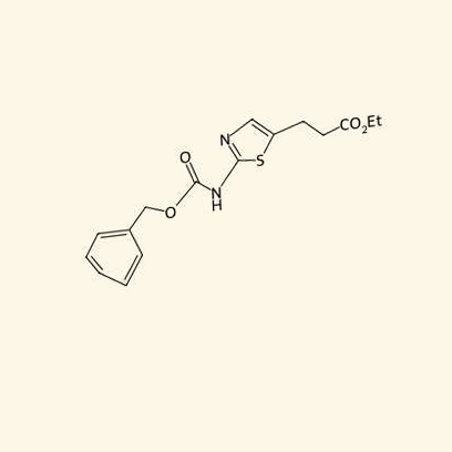 CCOC(=O)CCc1cnc(NC(=O)OCc2ccccc2)s1